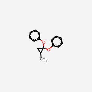 CC1CC1(Oc1ccccc1)Oc1ccccc1